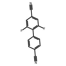 N#Cc1ccc(-c2c(F)cc(C#N)cc2F)cc1